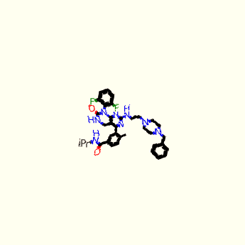 Cc1ccc(C(=O)NC(C)C)cc1-c1nc(NCCN2CCN(Cc3ccccc3)CC2)nc2c1CNC(=O)N2c1c(F)cccc1F